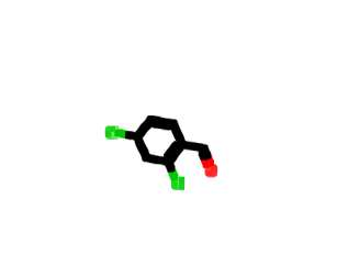 O=CC1=C(Cl)CC(Cl)C=C1